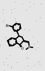 CN(C)C=C1CC(c2cccc(Br)c2)c2ccccc2C1=O